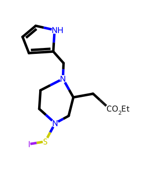 CCOC(=O)CC1CN(SI)CCN1Cc1ccc[nH]1